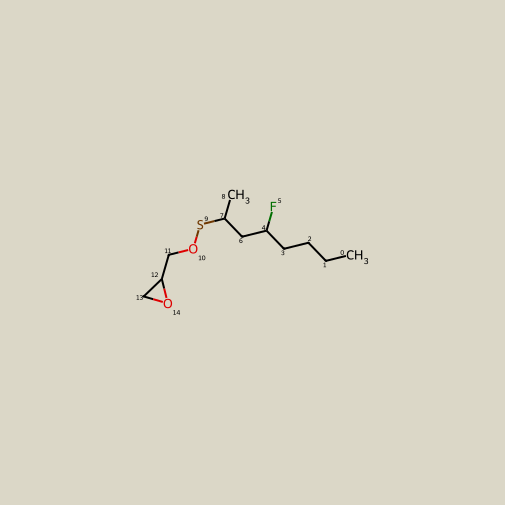 CCCCC(F)CC(C)SOCC1CO1